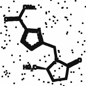 COC(=O)c1ccc(CN2C(=O)CC[C@@H]2C(=O)O)s1